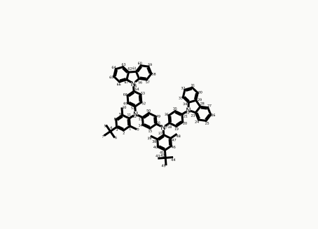 Cc1cc(C(C)(C)C)cc(C)c1N(c1ccc(N(c2ccc(-n3c4ccccc4c4ccccc43)cc2)c2c(C)cc(C(C)(C)C)cc2C)cc1)c1ccc(-n2c3ccccc3c3ccccc32)cc1